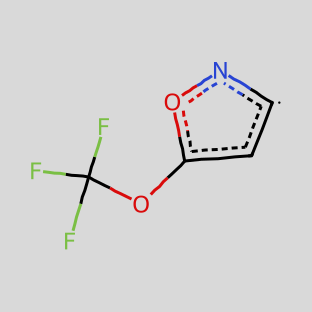 FC(F)(F)Oc1c[c]no1